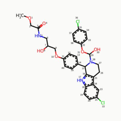 COCC(=O)NCC(O)COc1ccc(C2c3[nH]c4ccc(Cl)cc4c3CCN2C(O)Oc2ccc(Cl)cc2)cc1